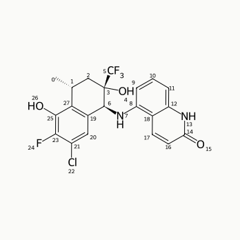 C[C@@H]1C[C@@](O)(C(F)(F)F)[C@@H](Nc2cccc3[nH]c(=O)ccc23)c2cc(Cl)c(F)c(O)c21